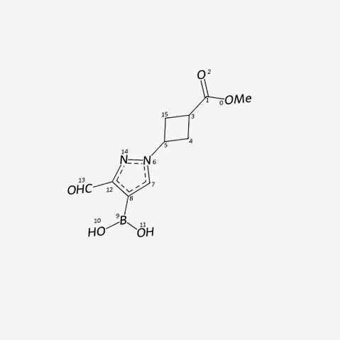 COC(=O)C1CC(n2cc(B(O)O)c(C=O)n2)C1